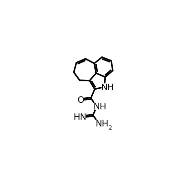 N=C(N)NC(=O)c1[nH]c2cccc3c2c1CCC=C3